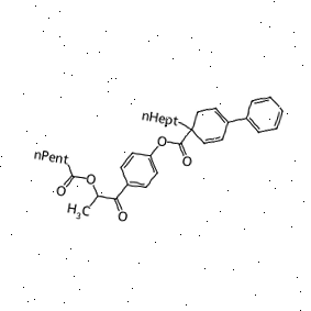 CCCCCCCC1(C(=O)Oc2ccc(C(=O)C(C)OC(=O)CCCCC)cc2)C=CC(c2ccccc2)=CC1